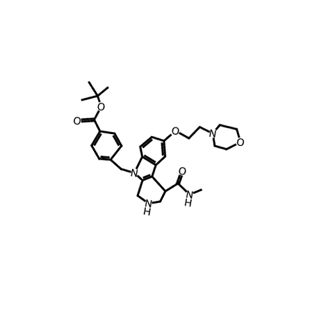 CNC(=O)C1CNCc2c1c1cc(OCCN3CCOCC3)ccc1n2Cc1ccc(C(=O)OC(C)(C)C)cc1